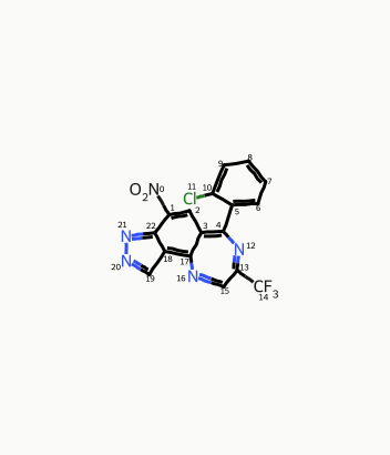 O=[N+]([O-])c1cc2c(-c3ccccc3Cl)nc(C(F)(F)F)cnc2c2cnnc12